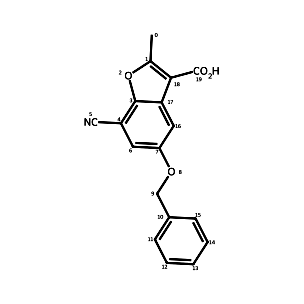 Cc1oc2c(C#N)cc(OCc3ccccc3)cc2c1C(=O)O